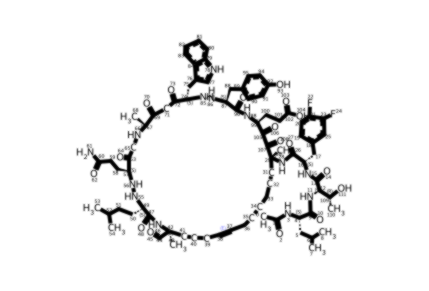 CC(=O)N[C@@H](CC(C)C)C(=O)N[C@H](C(=O)N[C@@H](Cc1ccc(F)c(F)c1)C(=O)N[C@]1(C)CCCCCC/C=C/CCC[C@@](C)(C=O)NC(=O)[C@H](CCC(C)C)NN[C@@H](CCC(N)=O)C(=O)CN[C@@H](C)C(=O)CC(=O)[C@H](Cc2c[nH]c3ccccc23)NN[C@@H](Cc2ccc(O)cc2)C(=O)N[C@@H](CCC(=O)O)C(=O)C1=O)[C@@H](C)O